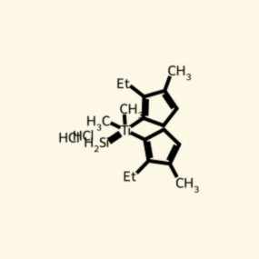 CCC1=[C]([Ti]([CH3])([CH3])(=[SiH2])[C]2=C(CC)C(C)=CC2)CC=C1C.Cl.Cl